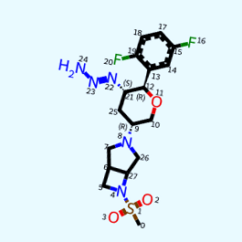 CS(=O)(=O)N1CC2CN([C@H]3CO[C@H](c4cc(F)ccc4F)[C@@H](N=NN)C3)CC21